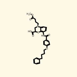 COC(=O)CCCN1CC(C(=O)O)Oc2c(NC(=O)c3ccc(OCCCCc4ccccc4)cc3)cccc21